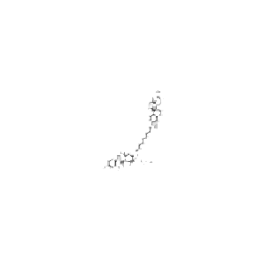 COc1cc2c(N[C@H](C)c3cccc(Br)c3)nc(C)nc2cc1OCCCCCCCCCNc1ccc2c(c1)CCN(C1CCC(=O)NC1=O)C2=O